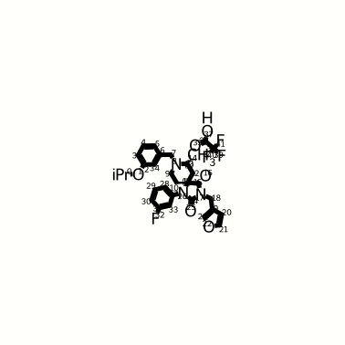 CC(C)Oc1cccc(CN2CC[C@@]3(C[C@@H]2C)C(=O)N(Cc2ccoc2)C(=O)N3c2cccc(F)c2)c1.O=C(O)C(F)(F)F